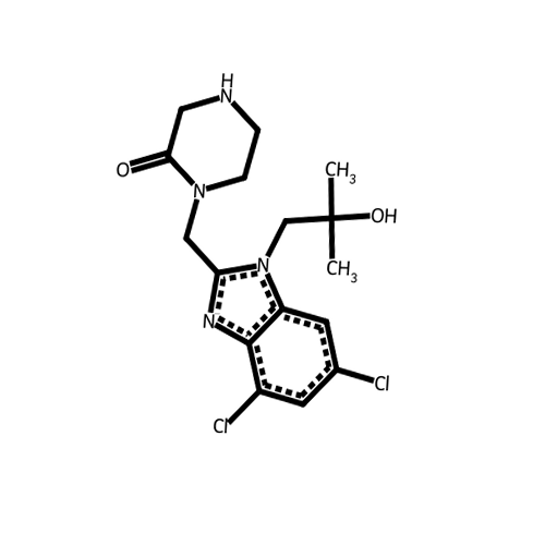 CC(C)(O)Cn1c(CN2CCNCC2=O)nc2c(Cl)cc(Cl)cc21